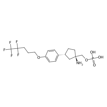 N[C@]1(COP(=O)(O)O)CC[C@@H](c2ccc(OCCCC(F)(F)C(F)(F)F)cc2)C1